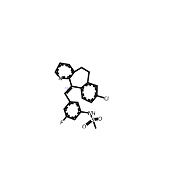 CS(=O)(=O)Nc1cc(F)cc(/C=C2\c3ccc(Cl)cc3CCc3cccnc32)c1